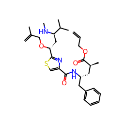 C=CCOC(=O)[C@@H](C)C[C@H](Cc1ccccc1)NC(=O)c1csc([C@@H](C[C@@H](NC)C(C)C)OCC(=C)C)n1